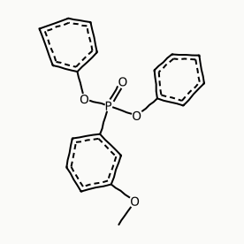 COc1cccc(P(=O)(Oc2ccccc2)Oc2ccccc2)c1